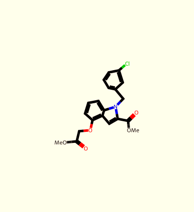 COC(=O)COc1cccc2c1cc(C(=O)OC)n2Cc1cccc(Cl)c1